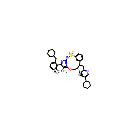 Cc1cccc(CC2CCCCC2)c1-c1nc2nc(c1C)OC[C@@H](CC(C)(C)C)C(Cc1ccc(C3CCCCC3)cn1)c1cccc(c1)S(=O)(=O)N2